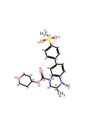 CC(=O)N1c2ccc(-c3ccc(S(C)(=O)=O)cc3)cc2N(C(=O)OC2CCOCC2)C[C@@H]1C